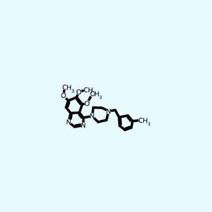 COc1cc2ncnc(N3CCN(Cc4cccc(C)c4)CC3)c2c(OC)c1OC